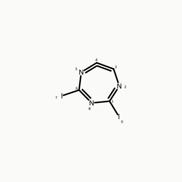 IC1=NC=C=NC(I)=N1